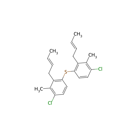 CC=CCc1c(Sc2ccc(Cl)c(C)c2CC=CC)ccc(Cl)c1C